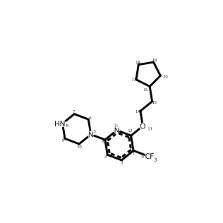 FC(F)(F)c1ccc(N2CCNCC2)nc1OCCC1CCCC1